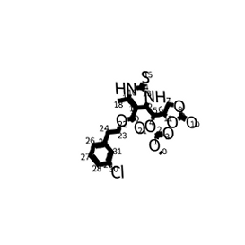 COC(=O)OC(C1COC(=O)O1)C1NC(=S)NC(C)=C1C(=O)OCCc1cccc(Cl)c1